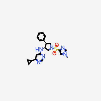 Cn1cnc(S(=O)(=O)N2C[C@H](Nc3cc(C4CC4)ncn3)[C@@H](c3ccccc3)C2)c1